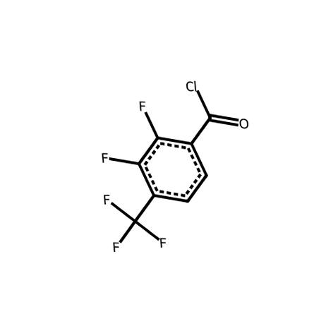 O=C(Cl)c1ccc(C(F)(F)F)c(F)c1F